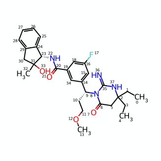 CCC1(CC)CC(=O)N([C@H](CCOC)c2cc(F)cc(C(=O)N[C@H]3c4ccccc4CC3(C)O)c2)C(=N)N1